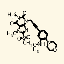 CNc1cc(C#CCn2c(=O)n(C)c(=O)c3c2nc(S(C)(=O)=O)n3C)ccc1N1CCOCC1